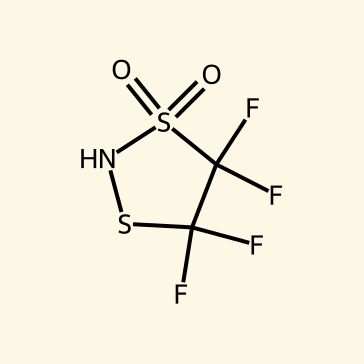 O=S1(=O)NSC(F)(F)C1(F)F